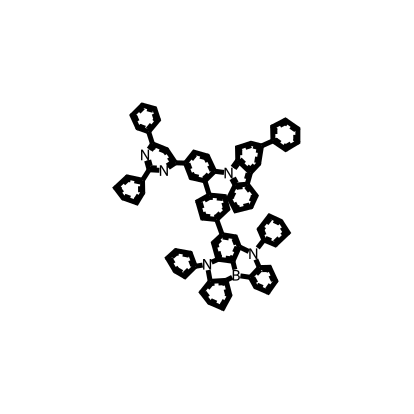 c1ccc(-c2ccc3c(c2)c2ccccc2n3-c2ccc(-c3cc(-c4ccccc4)nc(-c4ccccc4)n3)cc2-c2ccc(-c3cc4c5c(c3)N(c3ccccc3)c3ccccc3B5c3ccccc3N4c3ccccc3)cc2)cc1